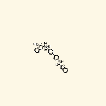 O=C(Nc1ccc(-c2ccc(S(=O)(=O)N[C@@H](Cc3ccccc3)C(=O)O)cc2)cc1)c1cc2ccccc2o1